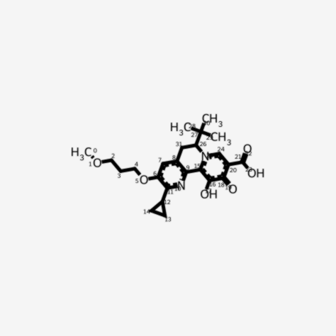 COCCCOc1cc2c(nc1C1CC1)-c1c(O)c(=O)c(C(=O)O)cn1C(C(C)(C)C)C2